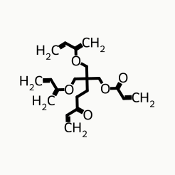 C=CC(=C)OCC(CCC(=O)C=C)(COC(=C)C=C)COC(=O)C=C